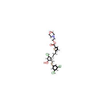 O=C(OCCN1CCOCC1)c1ccc(CCC[C@@H]2[C@@H](CSc3cc(Cl)cc(Cl)c3)[C@H](O)C[C@H]2Cl)s1